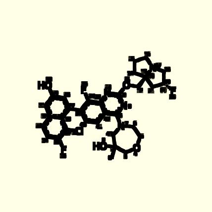 CC1(O)COCCN(c2nc(OC[C@@]34CCCN3C[C@H](F)C4)nc3c(F)c(-c4cc(O)cc5ccc(F)c(Cl)c45)ccc23)C1